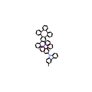 Cc1ccc2c(c1)c1ccccc1n2-c1ccc2c(c1)c1ccccc1n2-c1ccccc1-c1cc2c(cc1-n1c3ccccc3c3ccccc31)-c1ccccc1-c1ccccc1-c1ccccc1-2